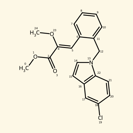 COC(=O)C(=Cc1ccccc1Cn1ccc2cc(Cl)ccc21)OC